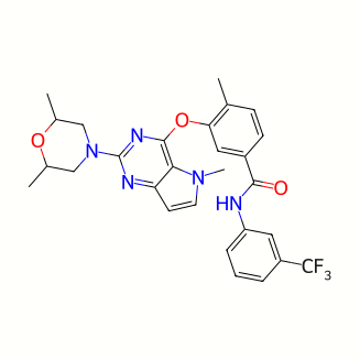 Cc1ccc(C(=O)Nc2cccc(C(F)(F)F)c2)cc1Oc1nc(N2CC(C)OC(C)C2)nc2ccn(C)c12